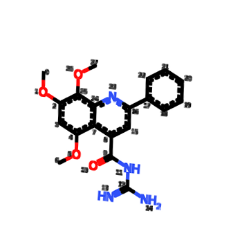 COc1cc(OC)c2c(C(=O)NC(=N)N)cc(-c3ccccc3)nc2c1OC